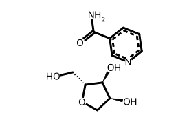 NC(=O)c1cccnc1.OC[C@H]1OC[C@H](O)[C@@H]1O